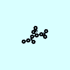 c1ccc(-c2ccc(N(c3ccccc3)c3cccc(-c4ccc(-c5ccc6c(c5)c5ccccc5n6-c5ccccc5)cc4-c4cccc5c4oc4ccccc45)c3)cc2)cc1